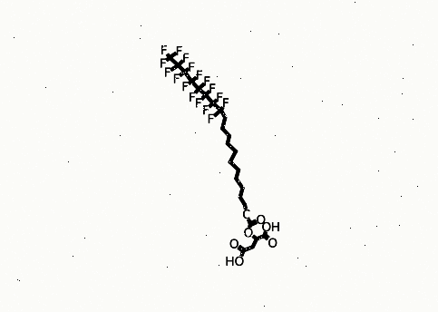 O=C(O)CC(OC(=O)CCCCCCCCCCCCC(F)(F)C(F)(F)C(F)(F)C(F)(F)C(F)(F)C(F)(F)C(F)(F)C(F)(F)F)C(=O)O